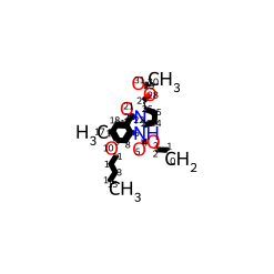 C=CCOC(=O)Nc1cc(OCCCCC)c(C)cc1C(=O)N1CCC[C@H]1COC(C)=O